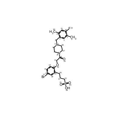 Cc1cc(CN2CCN(C(=O)COc3ccc(Br)cc3CCCS(=O)(=O)O)CC2)c(C)cc1F